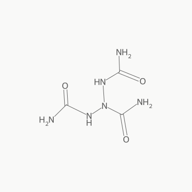 NC(=O)NN(NC(N)=O)C(N)=O